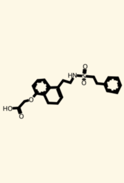 O=C(O)COc1cccc2c1CCC=C2CCNS(=O)(=O)CCc1ccccc1